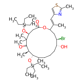 CC[Si](CC)(CC)O[C@H]1CC(=O)OC(/C(C)=C/c2csc(C)n2)C[C@@H](Br)[C@H](O)CCCC(C)[C@H](O[Si](CC)(CC)CC)[C@@H](C)C(=O)C1(C)C